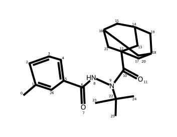 Cc1cccc(C(=O)NN(C(=O)C23CC4CC(CC(C4)C2)C3)C(C)(C)C)c1